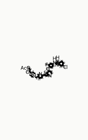 CC(=O)OCC(=O)N1CCN(Cc2ccc(-c3cc4nccc(Oc5ccc(Nc6nc7cc(Cl)ccc7[nH]6)cc5F)c4s3)nc2)CC1